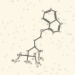 CNC(CCOc1ncnc2ccccc12)CC(C)(NC)NC